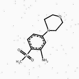 CS(=O)(=O)c1ccc(N2CCOCC2)cc1N